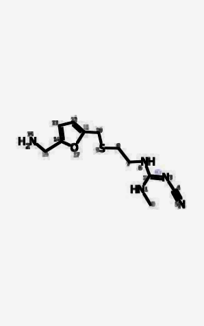 CN/C(=N\C#N)NCCSCc1ccc(CN)o1